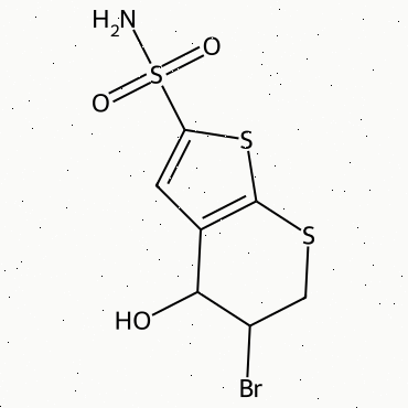 NS(=O)(=O)c1cc2c(s1)SCC(Br)C2O